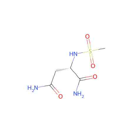 CS(=O)(=O)N[C@@H](CC(N)=O)C(N)=O